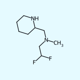 CN(CC(F)F)CC1CCCCN1